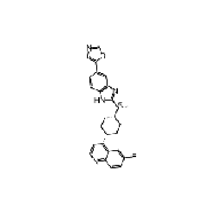 C[C@@H](c1nc2cc(-c3cnco3)ccc2[nH]1)[C@H]1CC[C@@H](c2ccnc3ccc(F)cc32)CC1